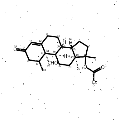 CCC(=O)OC1(C)CC[C@H]2[C@@H]3CCC4=CC(=O)CC(C)[C@]4(C=O)[C@@H]3CC[C@@]21C